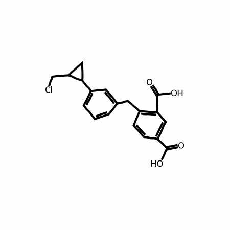 O=C(O)c1ccc(Cc2cccc(C3CC3CCl)c2)c(C(=O)O)c1